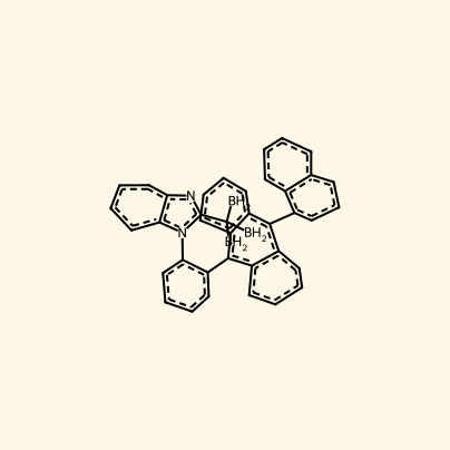 BC(B)(B)c1nc2ccccc2n1-c1ccccc1-c1c2ccccc2c(-c2cccc3ccccc23)c2ccccc12